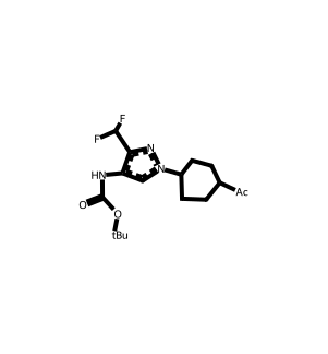 CC(=O)C1CCC(n2cc(NC(=O)OC(C)(C)C)c(C(F)F)n2)CC1